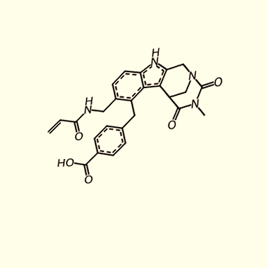 C=CC(=O)NCc1ccc2[nH]c3c(c2c1Cc1ccc(C(=O)O)cc1)C1CN(C3)C(=O)N(C)C1=O